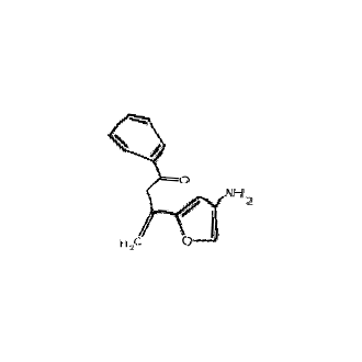 C=C(CC(=O)c1ccccc1)c1cc(N)co1